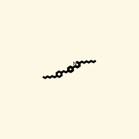 CCCCCCCc1ccc(-c2ccc(CCC3CCC(CCCCCC)CC3)cc2)nc1